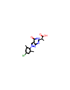 Cc1cc(Br)cc(C)c1-n1cc2c(=O)[nH]c(C(C)C(=O)O)nc2n1